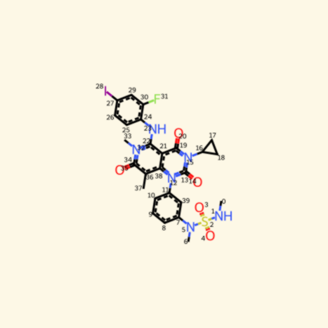 CNS(=O)(=O)N(C)c1cccc(-n2c(=O)n(C3CC3)c(=O)c3c(Nc4ccc(I)cc4F)n(C)c(=O)c(C)c32)c1